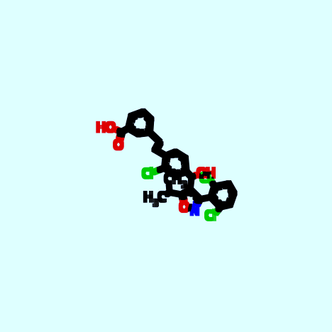 CC(C)c1onc(-c2c(Cl)cccc2Cl)c1C(O)c1ccc(C=Cc2cccc(C(=O)O)c2)c(Cl)c1